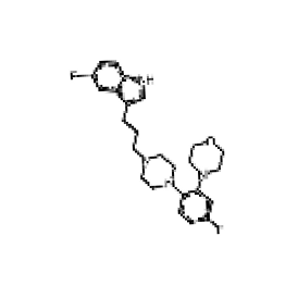 Fc1ccc(N2CCN(CCCc3c[nH]c4ccc(F)cc34)CC2)c(N2CCOCC2)c1